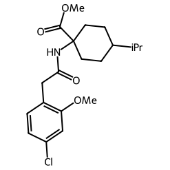 COC(=O)C1(NC(=O)Cc2ccc(Cl)cc2OC)CCC(C(C)C)CC1